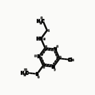 CCNc1nc(Cl)nc(SC)n1